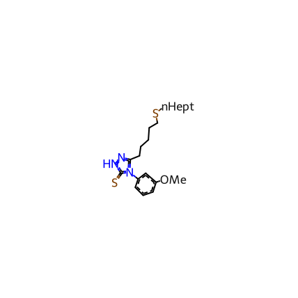 CCCCCCCSCCCCCc1n[nH]c(=S)n1-c1cccc(OC)c1